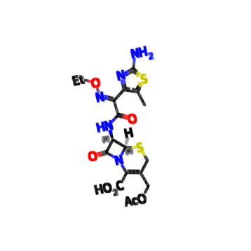 CCON=C(C(=O)N[C@@H]1C(=O)N2C(C(=O)O)=C(COC(C)=O)CS[C@H]12)c1nc(N)sc1C